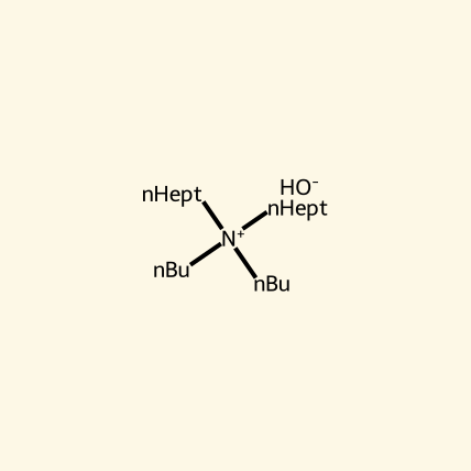 CCCCCCC[N+](CCCC)(CCCC)CCCCCCC.[OH-]